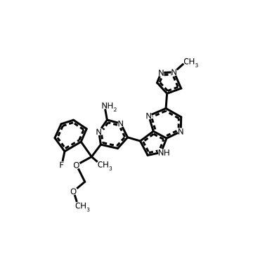 COCOC(C)(c1cc(-c2c[nH]c3ncc(-c4cnn(C)c4)nc23)nc(N)n1)c1ccccc1F